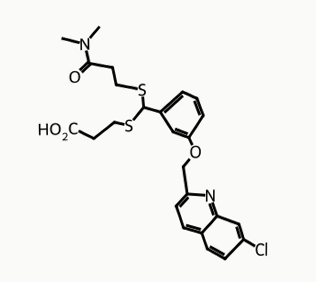 CN(C)C(=O)CCSC(SCCC(=O)O)c1cccc(OCc2ccc3ccc(Cl)cc3n2)c1